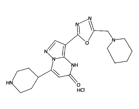 Cl.O=c1cc(C2CCNCC2)n2ncc(-c3nnc(CN4CCCCC4)o3)c2[nH]1